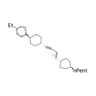 CCCCC[C@H]1CC[C@H](/C=C/C#C[C@H]2CC[C@H](c3ccc(CC)cc3)CC2)CC1